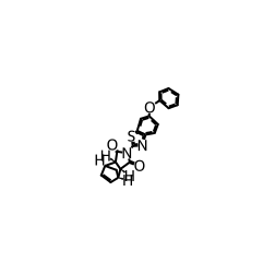 O=C1[C@@H]2[C@H](C(=O)N1c1nc3ccc(Oc4ccccc4)cc3s1)[C@@H]1C=C[C@H]2C1